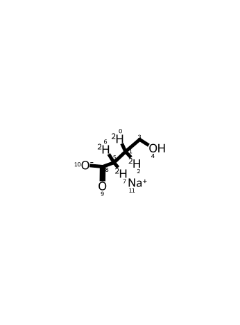 [2H]C([2H])(CO)C([2H])([2H])C(=O)[O-].[Na+]